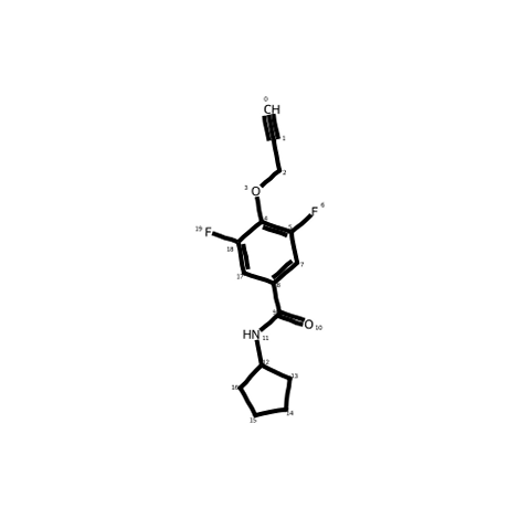 C#CCOc1c(F)cc(C(=O)NC2CCCC2)cc1F